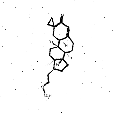 C[C@]12CC[C@H]3[C@@H](CCC4=CC(=O)C5(CC5)C[C@@H]43)[C@@H]1CC[C@H]2CCOC(=O)O